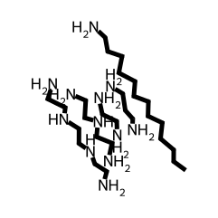 CCCCCCCCCCCCCN.NCCCN.NCCN.NCCNCCN.NCCNCCNCCN